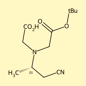 C[C@@H](CC#N)N(CC(=O)O)CC(=O)OC(C)(C)C